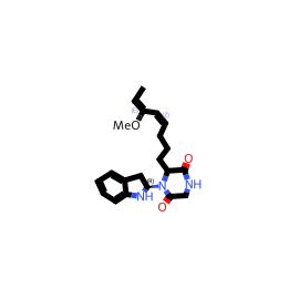 C/C=C(\C=C/CCCC1C(=O)NCC(=O)N1[C@@H]1Cc2ccccc2N1)OC